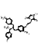 Cc1cc(CN(CC2CCC(C(=O)O)CC2)[C@@H](C)c2ccc(Cl)cc2)ccc1OCCN1C(=O)CN(C)C1=O